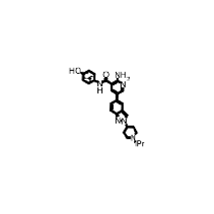 CC(C)N1CCC(n2cc3cc(-c4cnc(N)c(C(=O)NC56CCC(O)(CC5)CC6)c4)ccc3n2)CC1